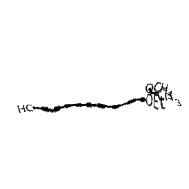 C#CC#CC#CC#CC#CC#CC#CC#CC#CC#COC(=O)C(C)(C)CC